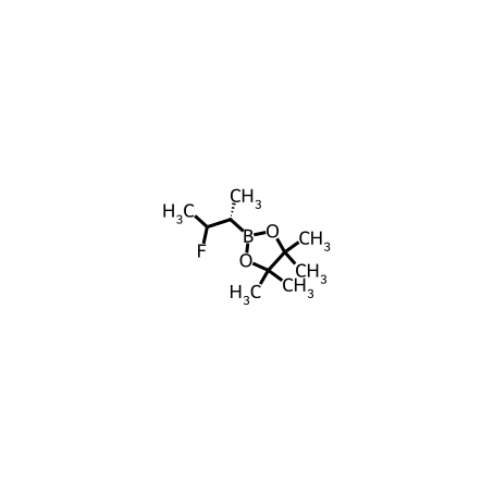 CC(F)[C@H](C)B1OC(C)(C)C(C)(C)O1